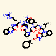 CC(C)C[C@H](NC(=O)[C@H](Cc1ccccc1)NC(=O)OC[C@H]1[C@@H]2CCC#CCC[C@@H]21)C(=O)N[C@@H](Cc1ccccc1)C(=O)N[C@@H](CCC(N)=O)C(=O)N1CCC[C@H]1C(=O)N[C@@H](CCC(N)=O)C(=O)N[C@@H](CCCNC(=N)N)C(=O)N[C@@H](Cc1ccccc1)C(N)=O